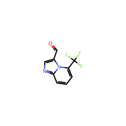 O=Cc1cnc2cccc(C(F)(F)F)n12